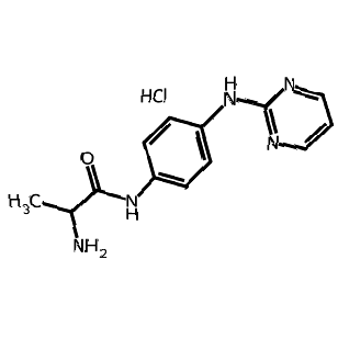 CC(N)C(=O)Nc1ccc(Nc2ncccn2)cc1.Cl